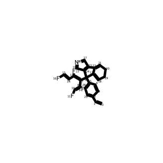 C=Cc1ccc(C2(C(/C(F)=C/F)=C(F)/C=C/F)C3=CCCC=C3C3=C2C=[N+]=C3)cc1